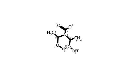 CCCOC(C)N(C([O])=O)C(C)OCCC